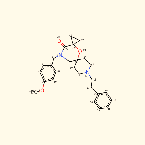 COc1ccc(CN2CC3(CCN(CCc4ccccc4)CC3)OC3(CC3)C2=O)cc1